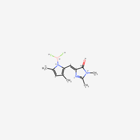 CC1=N/C(=C\c2c(C)cc(C)n2B(F)F)C(=O)N1C